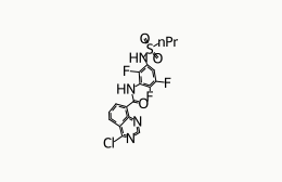 CCCS(=O)(=O)Nc1cc(F)c(F)c(NC(=O)c2cccc3c(Cl)ncnc23)c1F